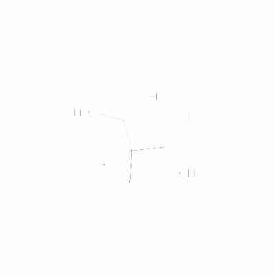 CC(C)C1(C(C)O)CC1